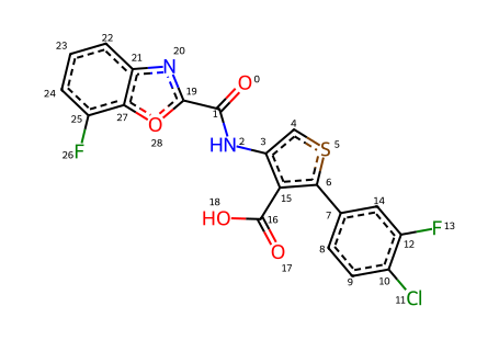 O=C(Nc1csc(-c2ccc(Cl)c(F)c2)c1C(=O)O)c1nc2cccc(F)c2o1